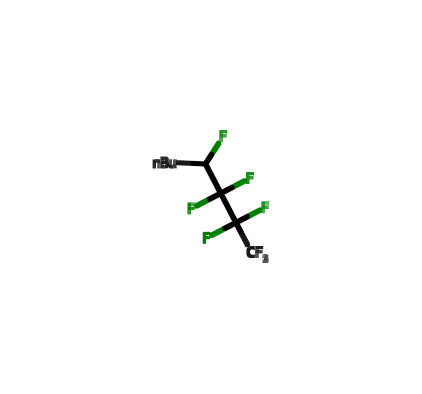 CCCCC(F)C(F)(F)C(F)(F)C(F)(F)F